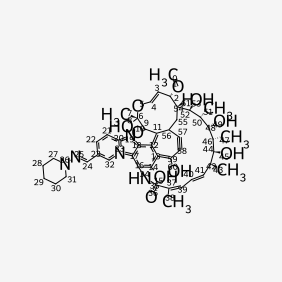 CO[C@H]1/C=C/O[C@@](C)(O)C(=O)C2=c3c4c(O)c(c5c3nc3ccc(/C=N/N6CCCCC6)cn35)NC(=O)/C(C)=C\C=C\[C@H](C)[C@H](O)[C@@H](C)[C@@H](O)[C@@H](C)[C@H](O)[C@@H]1CC2C#CC=4O